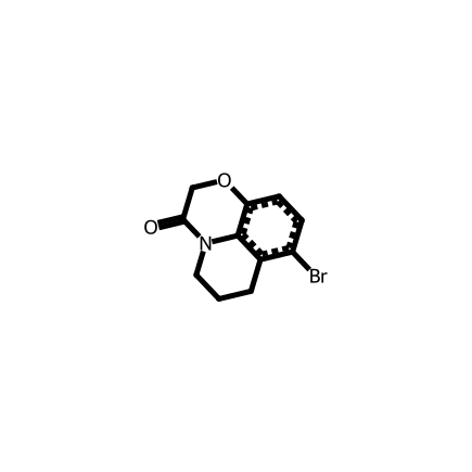 O=C1COc2ccc(Br)c3c2N1CCC3